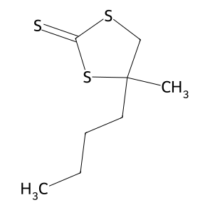 CCCCC1(C)CSC(=S)S1